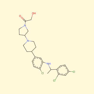 CC(Nc1cc(C2CCN(C3CCN(C(=O)CO)C3)CC2)ccc1Cl)c1ccc(Cl)cc1Cl